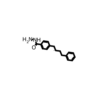 NNC(=O)c1ccc(C[CH]CCc2ccccc2)cc1